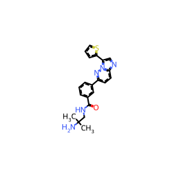 CC(C)(N)CNC(=O)c1cccc(-c2ccc3ncc(-c4cccs4)n3n2)c1